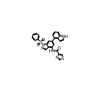 O=C(Nc1cc(-c2cccc3[nH]ccc23)cc2c1cnn2S(=O)(=O)c1ccccc1)c1cscn1